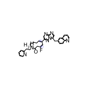 C=CC/C=C(\C=C(\F)CC(=O)NCCc1ccccn1)c1cnc2ncc(Cc3ccc4ncccc4c3)n2n1